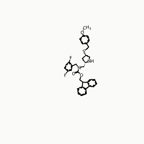 COc1ccc(CS[C@H]2CN[C@H](CN(Cc3cc(F)ccc3F)C(=O)OCC3c4ccccc4-c4ccccc43)C2)cc1